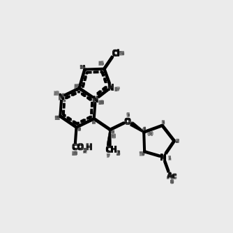 CC(=O)N1CC[C@H](O[C@@H](C)c2c(C(=O)O)cnc3cc(Cl)nn23)C1